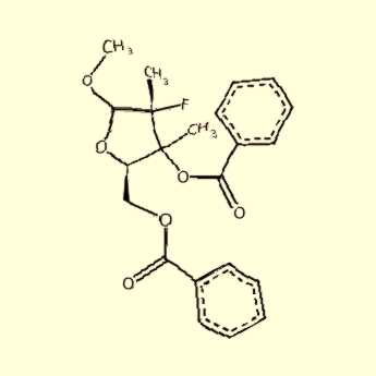 COC1O[C@H](COC(=O)c2ccccc2)C(C)(OC(=O)c2ccccc2)[C@@]1(C)F